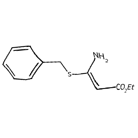 CCOC(=O)C=C(N)SCc1ccccc1